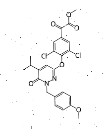 COC(=O)C(=O)c1cc(Cl)c(Oc2cc(C(C)C)c(=O)n(Cc3ccc(OC)cc3)n2)c(Cl)c1